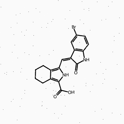 O=C1Nc2ccc(Br)cc2C1=Cc1[nH]c(C(=O)O)c2c1CCCC2